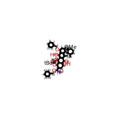 COc1cc(OCc2ccccc2)c2c(O)c3c(c4c2c1[C@@]1(C4)C(C)=CCCC1(C)C)C(=O)[C@]1(O)Cc2onc(OCc4ccccc4)c2C(O[Si](C)(C)C(C)(C)C)[C@]1(O)C3=O